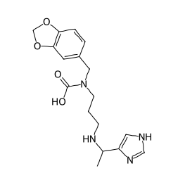 CC(NCCCN(Cc1ccc2c(c1)OCO2)C(=O)O)c1c[nH]cn1